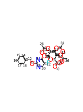 COC(=O)[C@H]1O[C@@H](Oc2nc(OCc3ccccc3)ncc2F)[C@H](OC(C)=O)[C@@H](OC(C)=O)[C@H]1OC(C)=O